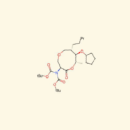 CC(C)CC[C@H]1COC[C@H](N(C(=O)OC(C)(C)C)C(=O)OC(C)(C)C)C(=O)O[C@@H](C)[C@@H]1OC1CCCC1